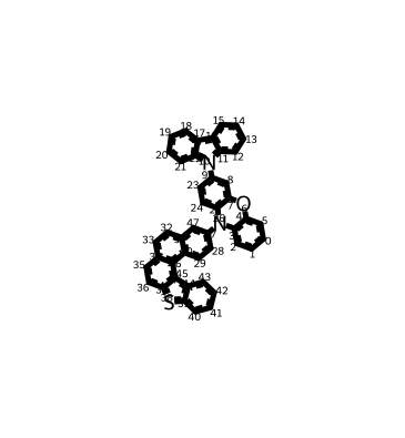 c1ccc2c(c1)Oc1cc(-n3c4ccccc4c4ccccc43)ccc1N2c1ccc2c(ccc3ccc4sc5ccccc5c4c32)c1